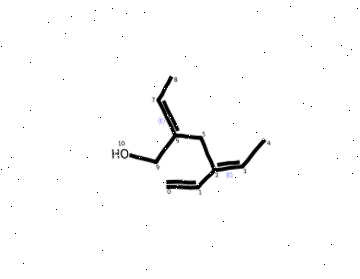 C=C/C(=C/C)C/C(=C\C)CO